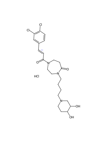 Cl.O=C(/C=C/c1ccc(Cl)c(Cl)c1)N1CCC(=O)N(CCCCN2CCC(O)C(O)C2)CC1